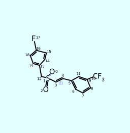 O=S(=O)(/C=C/c1cccc(C(F)(F)F)c1)Cc1ccc(F)cc1